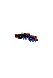 CNC(=O)c1ccc(NC(=O)c2cn3c(n2)sc2cc(OC)ccc23)cn1